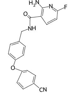 N#Cc1ccc(Oc2ccc(CNC(=O)c3ccc(F)nc3N)cc2)cc1